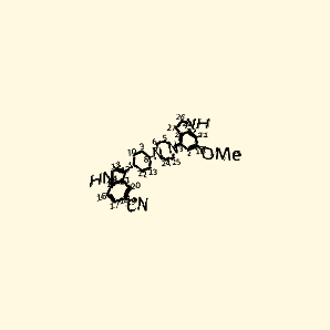 COc1cc(N2CCN([C@H]3CC[C@H](c4c[nH]c5ccc(C#N)cc54)CC3)CC2)c2cc[nH]c2c1